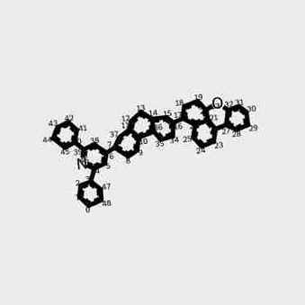 c1ccc(-c2cc(-c3ccc4c(ccc5cc(-c6ccc7c8c(cccc68)-c6ccccc6O7)ccc54)c3)cc(-c3ccccc3)n2)cc1